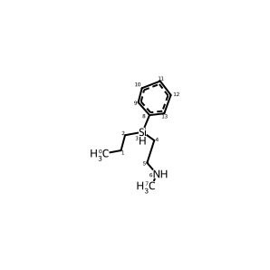 CCC[SiH](CCNC)c1ccccc1